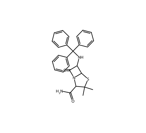 CC1(C)SC2C(NC(c3ccccc3)(c3ccccc3)c3ccccc3)C(=O)N2C1C(N)=O